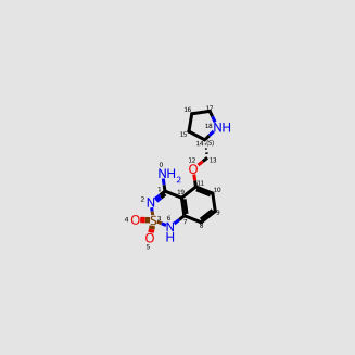 NC1=NS(=O)(=O)Nc2cccc(OC[C@@H]3CCCN3)c21